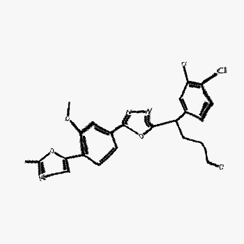 COc1cc(-c2nnc(C(CCCCl)c3ccc(Cl)c(Cl)c3)o2)ccc1-c1cnc(C)o1